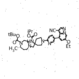 CCOc1cc(-c2ccc(N3CCC(CN4CC[C@H](C)N(C(=O)OC(C)(C)C)CC4)(NC(=O)OC(C)C)CC3)nc2)c2c(C#N)cnn2c1